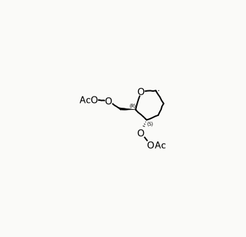 CC(=O)OOC[C@H]1O[CH]CC[C@@H]1OOC(C)=O